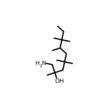 CCC(C)(C)C(C)CC(C)(C)CC(C)(O)CN